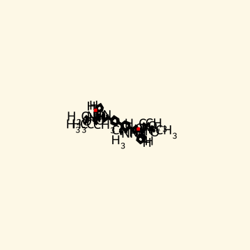 C=C(N[C@H](C(=O)N1C[C@@H]2CC[C@@]1(c1nc(-c3ccc(-c4ccc(-c5c[nH]c([C@@]67CC[C@@H](CN6C(=O)[C@@H](NC(=O)OC)C(C)C)C7)n5)c5[nH]cc(C)c45)cc3)c[nH]1)C2)C(C)C)OC